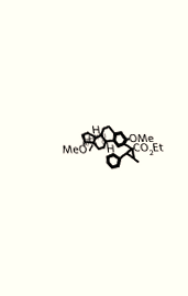 CCOC(=O)C1(c2cc3c(cc2OC)CC[C@@H]2[C@@H]3CC[C@]3(C)[C@@H](OC)CC[C@@H]23)C(C)C1c1ccccc1